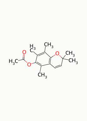 CC(=O)Oc1c(C)c(C)c2c(c1C)C=CC(C)(C)O2